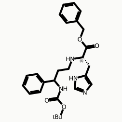 CC(C)(C)OC(=O)NC(CCN[C@@H](Cc1cnc[nH]1)C(=O)OCc1ccccc1)c1ccccc1